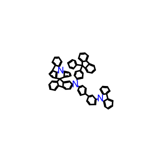 c1ccc(C2(c3ccc(N(c4ccc(-c5cccc(-n6c7ccccc7c7ccccc76)c5)cc4)c4ccc5c(c4)C4(c6ccccc6-5)c5ccccc5-n5c6ccccc6c6cccc4c65)cc3)c3ccccc3-c3ccccc32)cc1